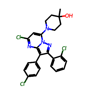 CC1(O)CCN(c2cc(Cl)nc3c(-c4ccc(Cl)cc4)c(-c4ccccc4Cl)nn23)CC1